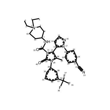 CC[N+]1(CC)CCC(NC(=O)n2c(-c3ccnn3-c3ccc(C#N)cc3)c(C)n(-c3cccc(C(F)(F)F)c3)c2=O)CC1